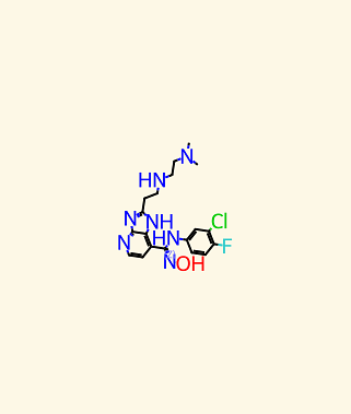 CN(C)CCNCCc1nc2nccc(/C(=N/O)Nc3ccc(F)c(Cl)c3)c2[nH]1